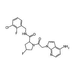 Nc1ccnc2c1ccn2CC(=O)N1CC(F)CC1C(=O)NCc1cccc(Cl)c1F